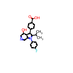 CC(C)c1c(-c2ccc(C(=O)O)cc2)c2c(O)cncc2n1-c1ccc(F)cc1